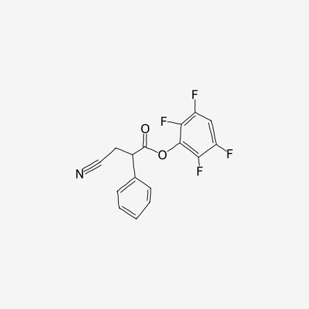 N#CCC(C(=O)Oc1c(F)c(F)cc(F)c1F)c1ccccc1